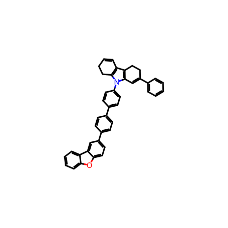 C1=Cc2c3c(n(-c4ccc(-c5ccc(-c6ccc7oc8ccccc8c7c6)cc5)cc4)c2CC1)C=C(c1ccccc1)CC3